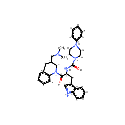 CN(C)CC1Cc2ccccc2N(C(=O)C(Cc2c[nH]c3ccccc23)NC(=O)N2CCN(c3ccccc3)CC2)C1